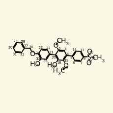 COc1cc(-c2ccc(S(C)(=O)=O)cc2)c(OC)c(O)c1-c1ccc(OCc2ccccc2)c(O)c1